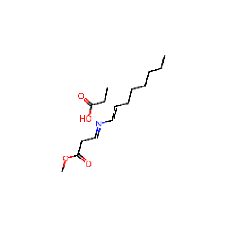 CCC(=O)O.CCCCCCC=CN=CCC(=O)OC